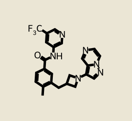 Cc1ccc(C(=O)Nc2cncc(C(F)(F)F)c2)cc1CC1CN(c2cnn3ccncc23)C1